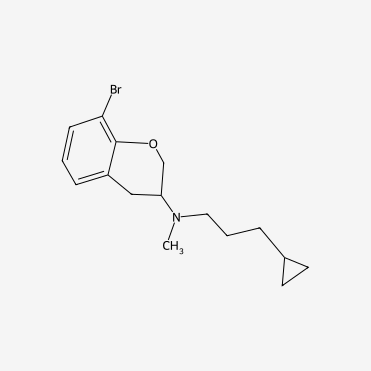 CN(CCCC1CC1)C1COc2c(Br)cccc2C1